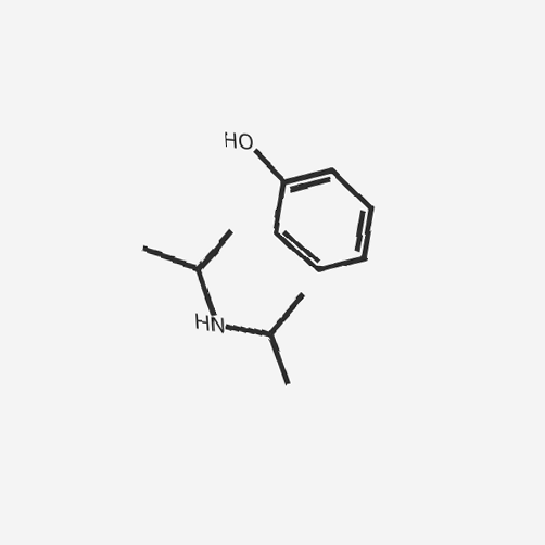 CC(C)NC(C)C.Oc1ccccc1